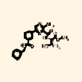 COC(=O)[C@@H](NC(=O)c1nc(-c2cccc(C(=O)NCc3ccccc3)c2)cnc1N)[C@@H](C)O